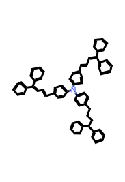 C(/C=C/c1ccc(N(c2ccc(/C=C/C=C(c3ccccc3)c3ccccc3)cc2)c2ccc(CCCC(c3ccccc3)c3ccccc3)cc2)cc1)=C(c1ccccc1)c1ccccc1